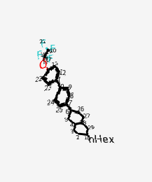 CCCCCCC1CCC2CC(c3ccc(-c4ccc(OC(F)(F)C(F)F)cc4)cc3)CCC2C1